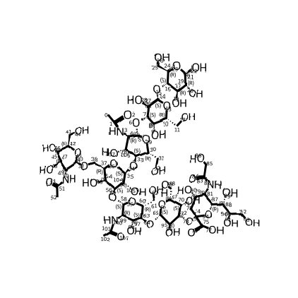 CC(=O)N[C@H]1[C@H](O[C@H]2[C@@H](O)[C@@H](CO)O[C@@H](O[C@H]3[C@H](O)[C@@H](O)[C@H](O)O[C@@H]3CO)[C@@H]2O)O[C@H](CO)[C@@H](O[C@@H]2O[C@H](CO[C@@H]3O[C@H](CO)[C@@H](O)[C@H](O)[C@H]3NC(C)=O)[C@H](O)[C@H](O[C@@H]3O[C@H](CO)[C@@H](O[C@@H]4O[C@H](CO)[C@H](O)[C@H](O[C@]5(C(=O)O)C[C@H](O)[C@@H](NC(=O)CO)[C@H]([C@H](O)[C@H](O)CO)O5)[C@H]4O)[C@H](O)[C@H]3NC(C)=O)[C@H]2O)[C@@H]1O